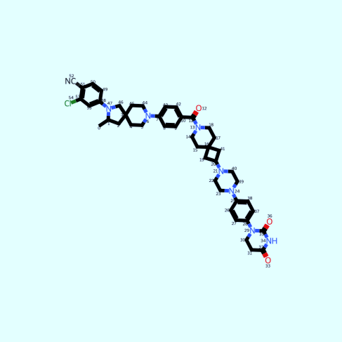 CC1CC2(CCN(c3ccc(C(=O)N4CCC5(CC4)CC(N4CCN(c6ccc(N7CCC(=O)NC7=O)cc6)CC4)C5)cc3)CC2)CN1c1ccc(C#N)c(Cl)c1